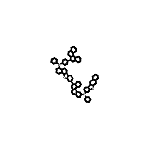 C1=C(c2cc3ccc4ccc(N(c5ccccc5)c5ccc6c(c5)SC5=Cc7ccccc7CC56)cc4c3c3ccccc23)C=C2Oc3c(ccc4c(N(c5ccccc5)c5ccc(-c6cc7ccccc7c7c6ccc6ccccc67)cc5)cccc34)C2C1